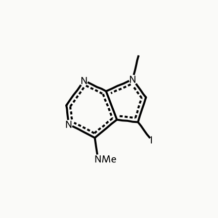 CNc1ncnc2c1c(I)cn2C